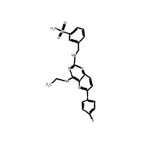 NS(=O)(=O)c1cccc(CNc2nc(NCC(F)(F)F)c3nc(-c4ccc(F)cc4)ccc3n2)c1